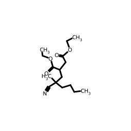 CCCCC(C)(C#N)CC(CC(=O)OCC)C(=O)OCC